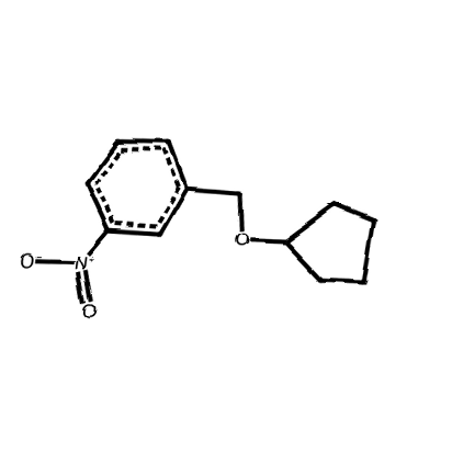 O=[N+]([O-])c1cccc(COC2CCCC2)c1